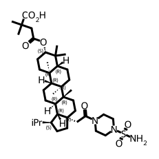 CC(C)[C@@H]1CC[C@]2(CC(=O)N3CCN(S(N)(=O)=O)CC3)CC[C@]3(C)[C@H](CC[C@@H]4[C@@]5(C)CC[C@H](OC(=O)CC(C)(C)C(=O)O)C(C)(C)[C@@H]5CC[C@]43C)[C@@H]12